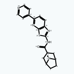 CN1C2CCC1CC(C(=O)Nc1nc3ccc(-c4ccncc4)nc3s1)C2